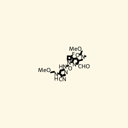 COCCNc1cc(NC(=O)N2c3nc(C=O)c(CN(C)C(=O)COC)cc3C3(F)CC2C3)ncc1C#N